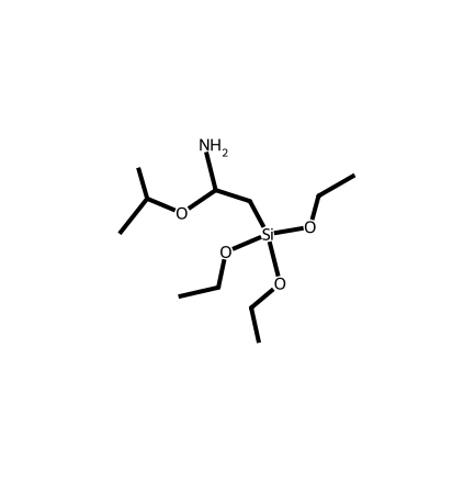 CCO[Si](CC(N)OC(C)C)(OCC)OCC